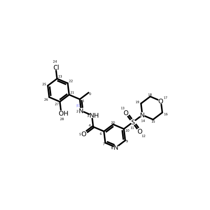 C/C(=N\NC(=O)c1cncc(S(=O)(=O)N2CCOCC2)c1)c1cc(Cl)ccc1O